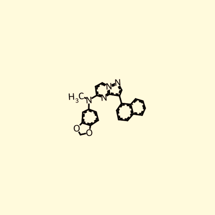 CN(c1ccc2c(c1)OCO2)c1ccn2ncc(-c3cccc4ccccc34)c2n1